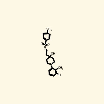 Cc1ccc(S(=O)(=O)OCCC2(O)CCN(c3cccc(Cl)c3C)CC2)cc1